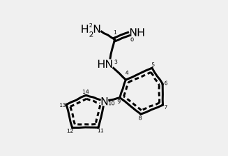 N=C(N)Nc1ccccc1-n1cccc1